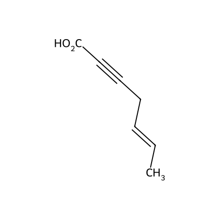 CC=CCC#CC(=O)O